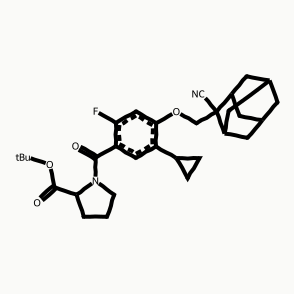 CC(C)(C)OC(=O)C1CCCN1C(=O)c1cc(C2CC2)c(OCC2(C#N)C3CC4CC(C3)CC2C4)cc1F